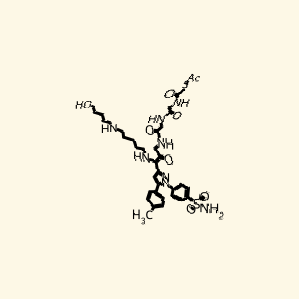 CC(=O)SCC(=O)NCC(=O)NCC(=O)NCC(=O)C(NCCCCCNCCCCCO)c1cc(-c2ccc(C)cc2)n(-c2ccc(S(N)(=O)=O)cc2)n1